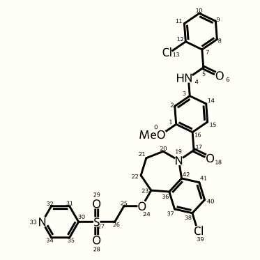 COc1cc(NC(=O)c2ccccc2Cl)ccc1C(=O)N1CCCC(OCCS(=O)(=O)c2ccncc2)c2cc(Cl)ccc21